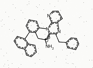 NC(=O)Cc1c(-c2cccc3ccccc23)cccc1-n1c(=O)c(Cc2ccccc2)nc2cccnc21